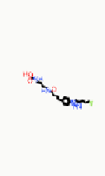 O=C(O)NCCCCNC(=O)CCCc1ccc(-n2cc(CCCF)nn2)cc1